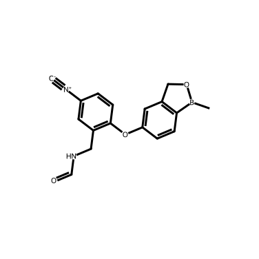 [C-]#[N+]c1ccc(Oc2ccc3c(c2)COB3C)c(CNC=O)c1